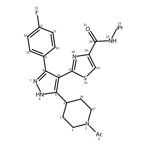 CC(=O)N1CCC(c2[nH]nc(-c3ccc(F)cc3)c2-c2nc(C(=O)NC(C)C)cs2)CC1